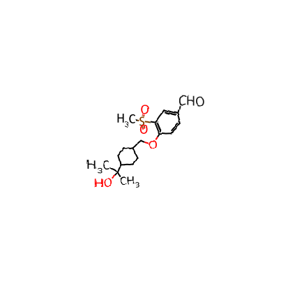 CC(C)(O)C1CCC(COc2ccc(C=O)cc2S(C)(=O)=O)CC1